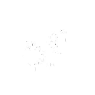 CCOC(=O)[C@@]12C[C@H]1/C=C\CCCCN(C)C(=O)[C@@H]1C[C@H](Oc3cc(OCC)nc4c(C)c(OC)ccc34)C[C@H]1C(=O)N2